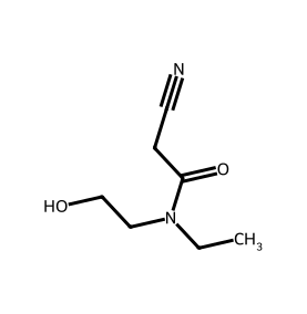 CCN(CCO)C(=O)CC#N